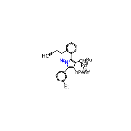 C#CCCc1ccccc1C1=C(C)C(CCCCC)=C(c2cccc(CC)c2)[N+]1=[N-].CCC[CH2][Pd][CH2]CCC